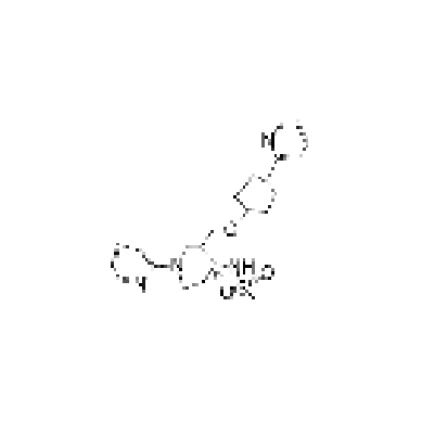 CS(=O)(=O)N[C@H]1CCN(c2ccccn2)CC1COC1CCC(c2ccccn2)CC1